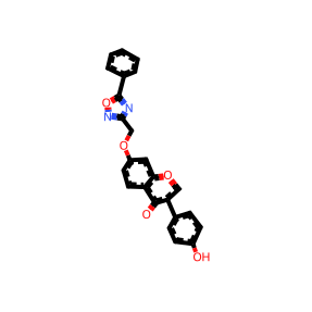 O=c1c(-c2ccc(O)cc2)coc2cc(OCc3noc(-c4ccccc4)n3)ccc12